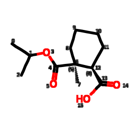 CC(C)OC(=O)[C@@]1(C)CCCC[C@H]1C(=O)O